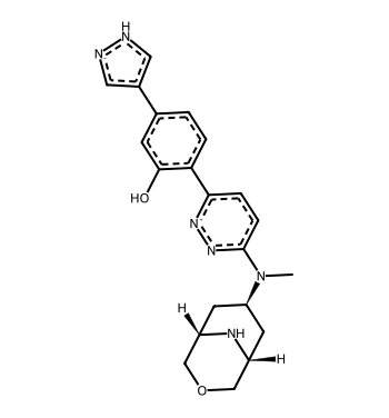 CN(c1ccc(-c2ccc(-c3cn[nH]c3)cc2O)nn1)[C@@H]1C[C@H]2COC[C@@H](C1)N2